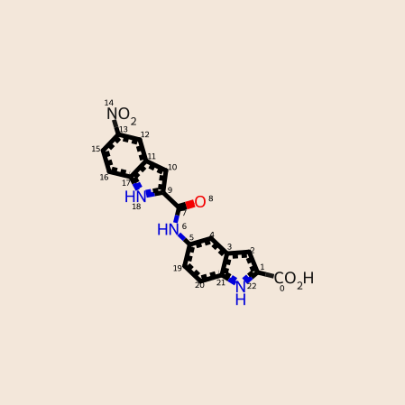 O=C(O)c1cc2cc(NC(=O)c3cc4cc([N+](=O)[O-])ccc4[nH]3)ccc2[nH]1